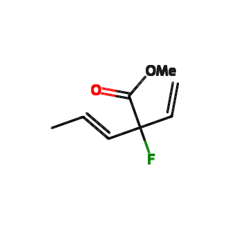 C=CC(F)(/C=C/C)C(=O)OC